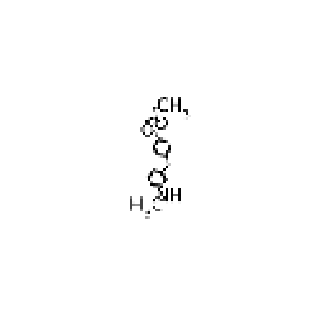 CC[C@@H]1CO[C@H](c2ccc(Cc3cccc(NC)c3)cc2)O1